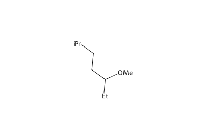 [CH2]CC(CCC(C)C)OC